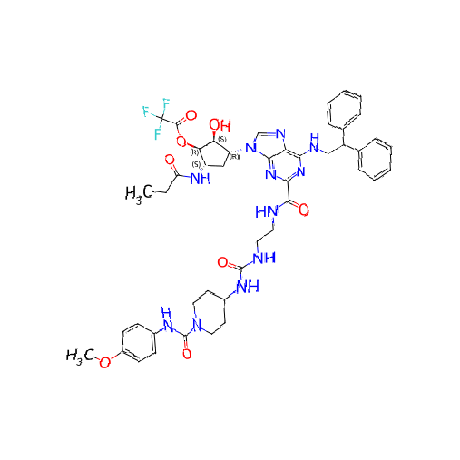 CCC(=O)N[C@H]1C[C@@H](n2cnc3c(NCC(c4ccccc4)c4ccccc4)nc(C(=O)NCCNC(=O)NC4CCN(C(=O)Nc5ccc(OC)cc5)CC4)nc32)[C@H](O)[C@@H]1OC(=O)C(F)(F)F